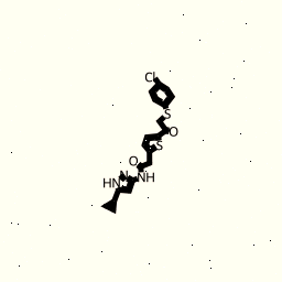 O=C(Cc1ccc(C(=O)CSc2ccc(Cl)cc2)s1)Nc1cc(C2CC2)[nH]n1